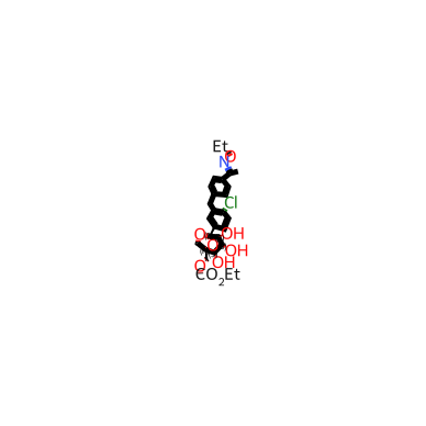 CCON=C(C)c1ccc(Cc2cc([C@]34OC[C@](COC(=O)OCC)(O3)[C@@H](O)[C@H](O)[C@H]4O)ccc2Cl)cc1